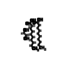 CCCCCCCCCC(=O)O.CCCCCCCCCC(=O)O.OCCO